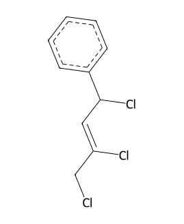 ClCC(Cl)=CC(Cl)c1ccccc1